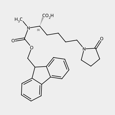 CN(C(=O)OCC1c2ccccc2-c2ccccc21)[C@@H](CCCCN1CCCC1=O)C(=O)O